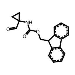 O=CC1(NC(=O)OCC2c3ccccc3-c3ccccc32)CC1